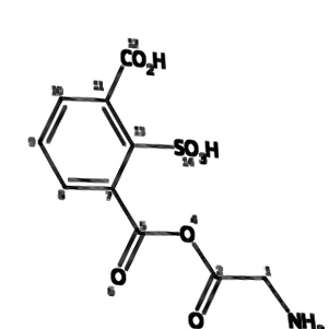 NCC(=O)OC(=O)c1cccc(C(=O)O)c1S(=O)(=O)O